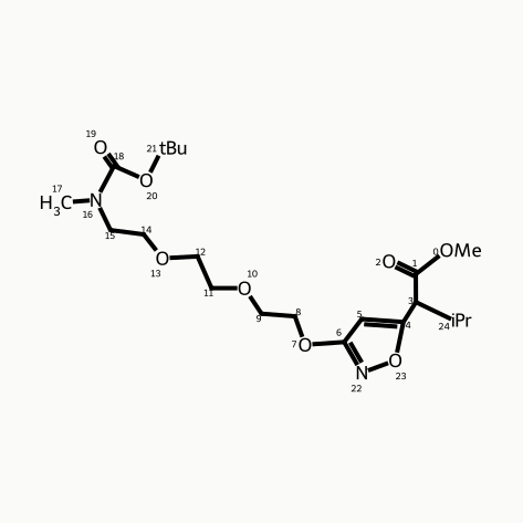 COC(=O)C(c1cc(OCCOCCOCCN(C)C(=O)OC(C)(C)C)no1)C(C)C